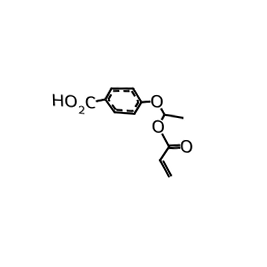 C=CC(=O)OC(C)Oc1ccc(C(=O)O)cc1